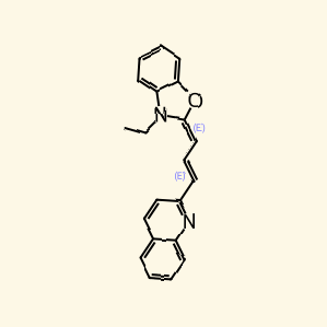 CCN1/C(=C\C=C\c2ccc3ccccc3n2)Oc2ccccc21